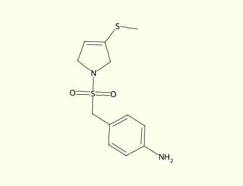 CSC1=CCN(S(=O)(=O)Cc2ccc(N)cc2)C1